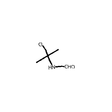 CC(C)(Cl)NC=O